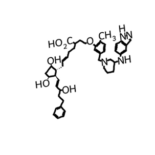 Cc1ccc(CN2CCCC(Nc3ccc4[nH]ncc4c3)C2)cc1OCCC(CCC=CC[C@@H]1[C@@H](C=CC(O)CCc2ccccc2)[C@H](O)C[C@@H]1O)C(=O)O